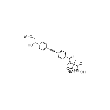 CNC(=O)C(C)(C(=O)NO)N(C)C(=O)c1ccc(C#Cc2ccc(C(O)COC)cc2)cc1